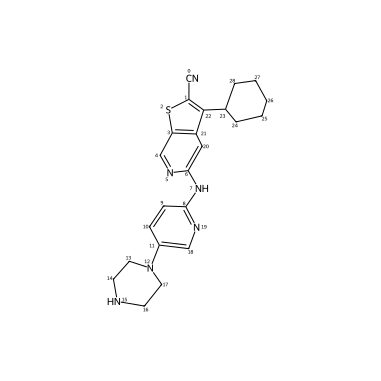 N#Cc1sc2cnc(Nc3ccc(N4CCNCC4)cn3)cc2c1C1CCCCC1